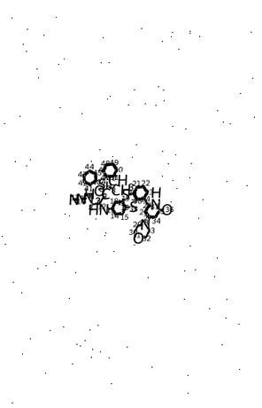 CC(C)(C)[Si](OCC(CN=[N+]=[N-])Nc1ccc2c(c1)Sc1cccc(-c3cc(N4CCOCC4)cc(=O)[nH]3)c1S2)(c1ccccc1)c1ccccc1